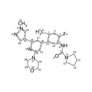 Cc1cc(F)c(NC(=O)N2CCCC2)cc1-c1cc(-c2cnn(C)c2)nc(N2CCOCC2)c1